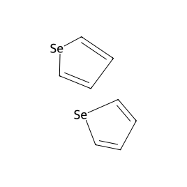 c1cc[se]c1.c1cc[se]c1